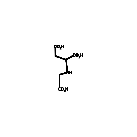 O=C(O)CNC(CC(=O)O)C(=O)O